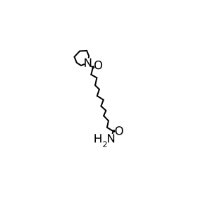 NC(=O)CCCCCCCCCCCC(=O)N1CCCCCC1